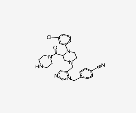 N#Cc1ccc(Cn2cncc2CN2CCN(c3cccc(Cl)c3)C(C(=O)N3CCNCC3)C2)cc1